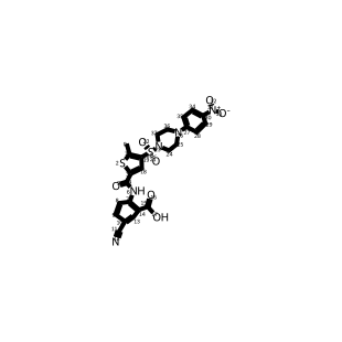 Cc1sc(C(=O)Nc2ccc(C#N)cc2C(=O)O)cc1S(=O)(=O)N1CCN(c2ccc([N+](=O)[O-])cc2)CC1